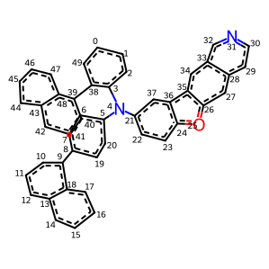 c1ccc(N(c2ccc(-c3cccc4ccccc34)cc2)c2ccc3oc4cc5ccncc5cc4c3c2)c(-c2cccc3ccccc23)c1